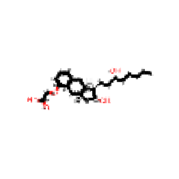 CCCCC[C@@H](O)CC[C@@H]1[C@H]2Cc3cccc(OCC(=O)O)c3C[C@H]2C[C@H]1O